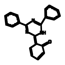 O=C1C=CC=C/C1=C1\N=C(c2ccccc2)N=C(c2ccccc2)N1